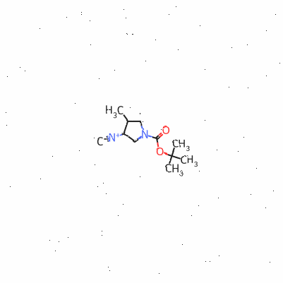 [C-]#[N+]C1CN(C(=O)OC(C)(C)C)CC1C